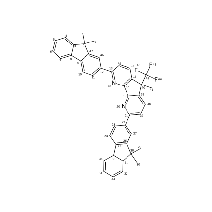 CC1(C)c2ccccc2-c2ccc(-c3ccc4c(n3)-c3nc(-c5ccc6c(c5)C(C)(C)C5C=CC=CC65)ccc3C4(C)C(F)(F)F)cc21